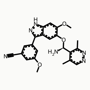 COc1cc(C#N)cc(-c2n[nH]c3cc(OC)c(O[C@H](N)c4c(C)cnnc4C)cc23)c1